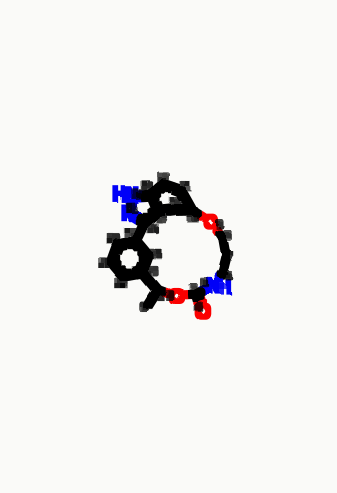 CC1OC(=O)NCCCOc2ccc3[nH]nc(c3c2)-c2cccc1c2